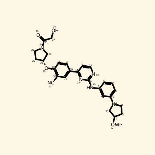 COC1CCN(c2cccc(Nc3nccc(-c4ccc(O[C@@H]5CCN(C(=O)CO)C5)c(C#N)c4)n3)c2)C1